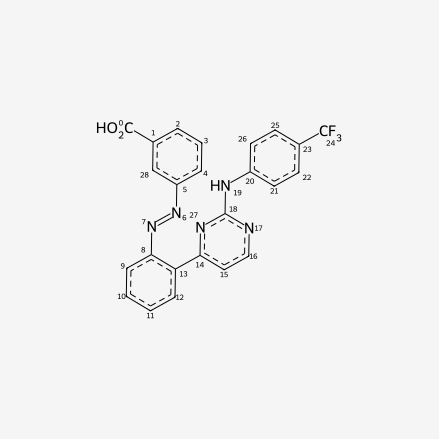 O=C(O)c1cccc(N=Nc2ccccc2-c2ccnc(Nc3ccc(C(F)(F)F)cc3)n2)c1